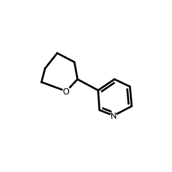 c1cncc(C2CCCCO2)c1